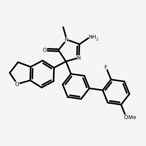 COc1ccc(F)c(-c2cccc(C3(c4ccc5c(c4)CCO5)N=C(N)N(C)C3=O)c2)c1